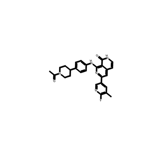 CC(=O)N1CCC(c2ccc(Nc3nc(-c4cnc(F)c(C)c4)cc4cc[nH]c(=O)c34)cc2)CC1